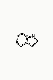 [c]1ccn2nccc2c1